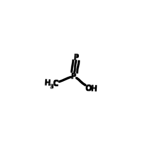 CP(O)#P